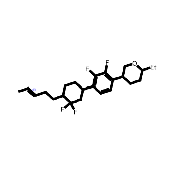 C/C=C/CCC1CCC(c2ccc(C3CCC(CC)OC3)c(F)c2F)CC1(F)F